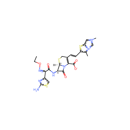 CCO/N=C(\C(=O)N[C@@H]1C(=O)N2C(C(=O)[O-])=C(C=Cc3sc4cn(C)c[n+]4c3C)CS[C@H]12)c1csc(N)n1